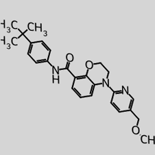 COCc1ccc(N2CCOc3c(C(=O)Nc4ccc(C(C)(C)C)cc4)cccc32)nc1